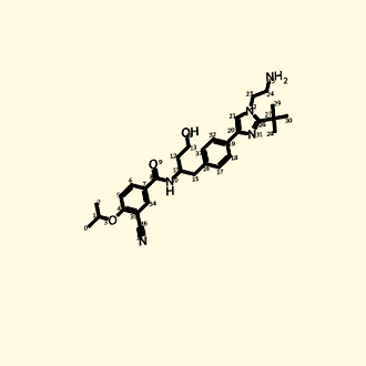 CC(C)Oc1ccc(C(=O)NC(CCO)Cc2ccc(-c3cn(CCN)c(C(C)(C)C)n3)cc2)cc1C#N